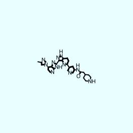 Cc1cn(-c2ccnc3[nH]c(-c4n[nH]c5ccc(-c6cncc(NC(=O)CC7CCNCC7)c6)nc45)nc23)cn1